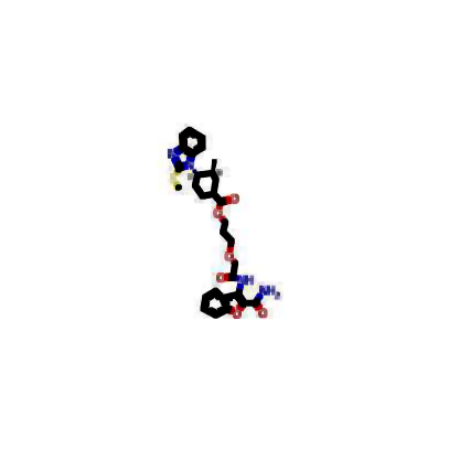 CSc1nc2ccccc2n1[C@H]1CCC(C(=O)OCCCOCC(=O)Nc2c(C(N)=O)oc3ccccc23)C[C@@H]1C